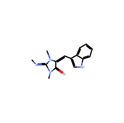 C/N=C1/N(C)C(=O)C(=Cc2c[nH]c3ccccc23)N1C